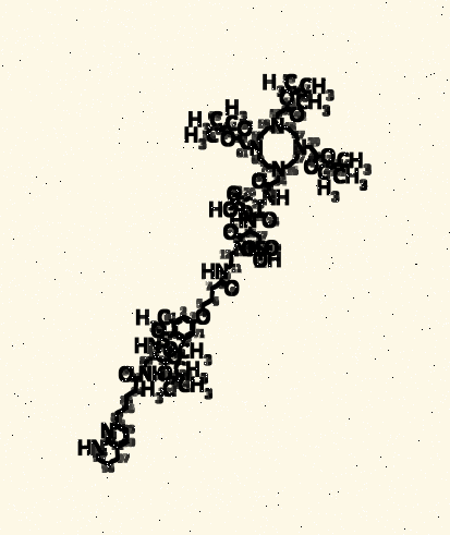 Cc1cc(OCCCC(=O)NCCNC(=O)C(CS(=O)(=O)O)NC(=O)[C@H](CS(=O)(=O)O)NC(=O)CN2CCN(CC(=O)OC(C)(C)C)CCN(CC(=O)OC(C)(C)C)CCN(CC(=O)OC(C)(C)C)CC2)cc(C)c1S(=O)(=O)N[C@H](CNC(=O)CCCCc1ccc2c(n1)NCCC2)C(=O)OC(C)(C)C